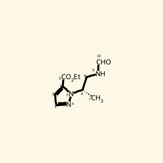 CCOC(=O)c1ccnn1[C@@H](C)CNC=O